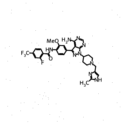 COc1cc(-c2nn(C3CCN(Cc4c[nH]c(C)n4)CC3)c3ncnc(N)c23)ccc1NC(=O)c1ccc(C(F)(F)F)cc1F